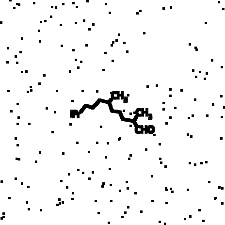 CC(C)CCCC(C)CCCC(C)C=O